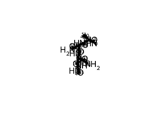 CNC(=O)CCN(CCC(=O)NCCN(CCC(N)=O)CCC(=O)NCCN(CCC(=O)NCN)CCC(=O)NCCNC(C)=O)CCC(C)(C)C